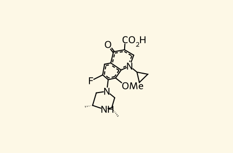 COc1c(N2C[C@@H](C)N[C@@H](C)C2)c(F)cc2c(=O)c(C(=O)O)cn(C3CC3)c12